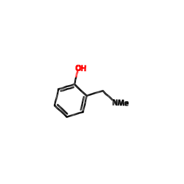 CNCc1ccccc1O